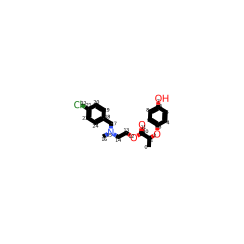 CC(Oc1ccc(O)cc1)C(=O)OCCN(C)Cc1ccc(Cl)cc1